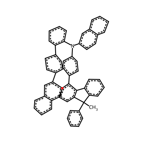 CC1(c2ccccc2)c2ccccc2-c2c(-c3ccc(N(c4ccc5ccccc5c4)c4ccccc4-c4ccc(-c5ccc6ccccc6c5)cc4)cc3)cccc21